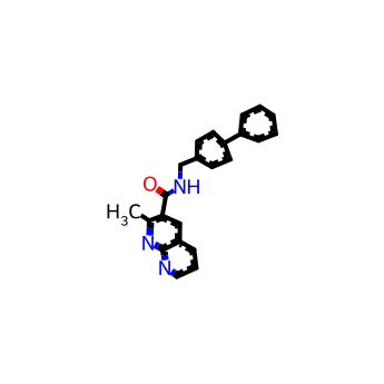 Cc1nc2ncccc2cc1C(=O)NCc1ccc(-c2ccccc2)cc1